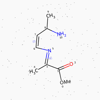 COC(=O)/C(C)=N/C=C\C(C)N